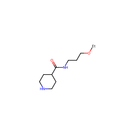 CCOCCCNC(=O)C1CCNCC1